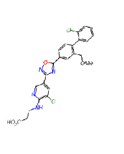 COCc1cc(-c2nc(-c3cnc(NCCC(=O)O)c(Cl)c3)no2)ccc1-c1ccccc1Cl